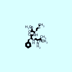 COC(=O)[C@H](CCSC)NC(=O)[C@H](Cc1ccccc1)NC[C@@H](N)C(C)C.Cl